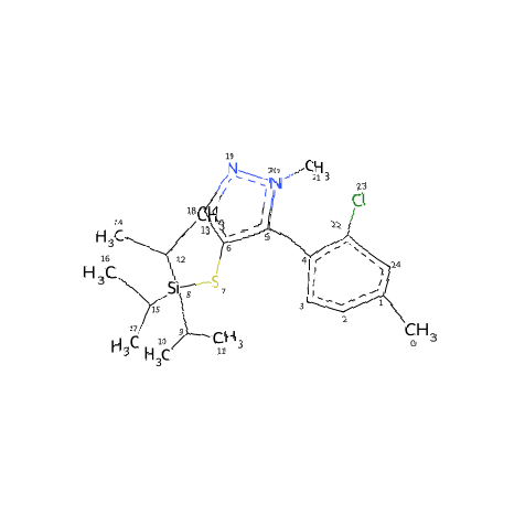 Cc1ccc(-c2c(S[Si](C(C)C)(C(C)C)C(C)C)cnn2C)c(Cl)c1